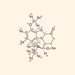 [2H]O[C@@]12CCC(=O)C3Oc4c(OC([2H])([2H])[2H])c([2H])c([2H])c5c4[C@@]31CCN(C([2H])([2H])[2H])[C@@H]2C5([2H])[2H]